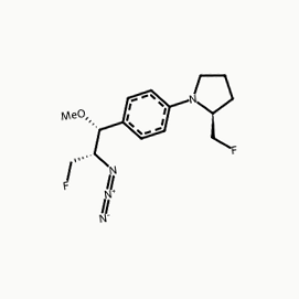 CO[C@H](c1ccc(N2CCC[C@H]2CF)cc1)[C@@H](CF)N=[N+]=[N-]